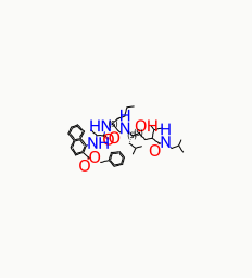 CCCC[C@H](NC(=O)C(C)Nc1c(C(=O)OCc2ccccc2)ccc2ccccc12)C(=O)N[C@@H](CC(C)C)[C@@H](O)CC(C(=O)NCC(C)C)C(C)C